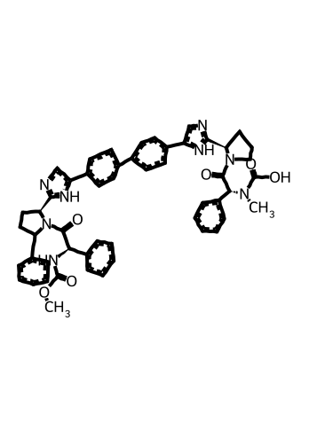 COC(=O)N[C@@H](C(=O)N1C(c2ccccc2)CC[C@H]1c1ncc(-c2ccc(-c3ccc(-c4cnc([C@H]5CCCN5C(=O)[C@@H](c5ccccc5)N(C)C(=O)O)[nH]4)cc3)cc2)[nH]1)c1ccccc1